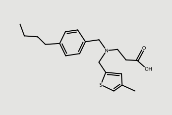 CCCCc1ccc(CN(CCC(=O)O)Cc2cc(C)cs2)cc1